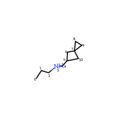 CCCNCC1CC2(CC2)C1